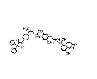 COc1cc(NC(=O)CCN(C)C2CCC(OC(=O)C(O)(c3cccs3)c3cccs3)CC2)c(Cl)cc1CCNC[C@@H](O)c1ccc(O)c2[nH]c(=O)ccc12